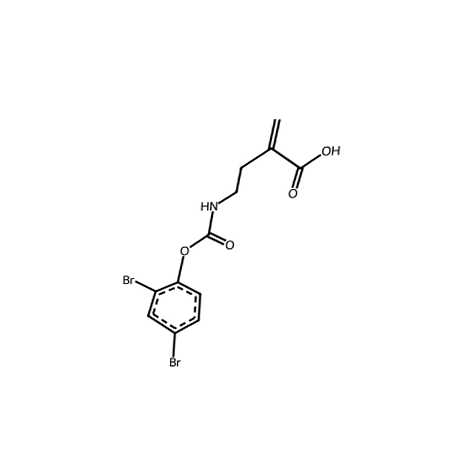 C=C(CCNC(=O)Oc1ccc(Br)cc1Br)C(=O)O